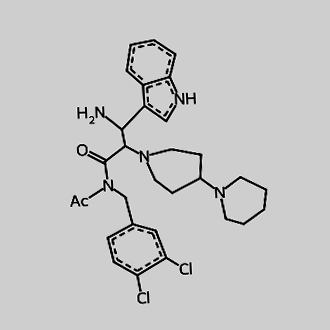 CC(=O)N(Cc1ccc(Cl)c(Cl)c1)C(=O)C(C(N)c1c[nH]c2ccccc12)N1CCC(N2CCCCC2)CC1